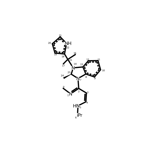 C/N=C(/C=C\NC(C)C)N1c2ccccc2N(C(C)(C)c2ccc[nH]2)[C@@H]1C